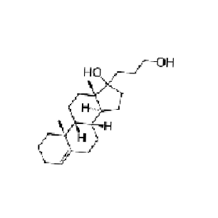 C[C@]12CCCC=C1CC[C@@H]1[C@H]2CC[C@@]2(C)[C@H]1CCC2(O)CCCO